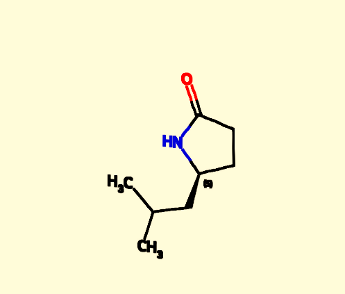 CC(C)C[C@@H]1CCC(=O)N1